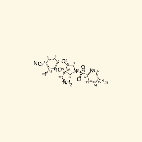 N#Cc1ccc(OC2CN(S(=O)(=O)c3ccc(I)cn3)C[C@@]2(O)CN)cc1F